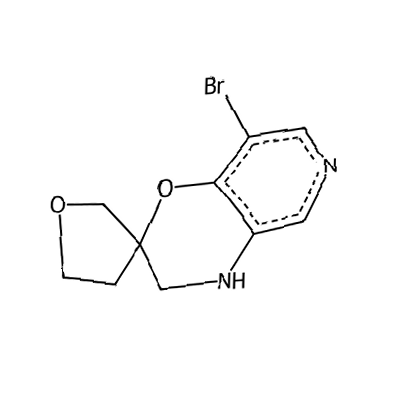 Brc1cncc2c1OC1(CCOC1)CN2